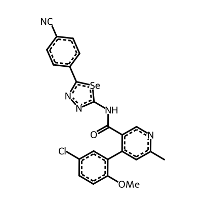 COc1ccc(Cl)cc1-c1cc(C)ncc1C(=O)Nc1nnc(-c2ccc(C#N)cc2)[se]1